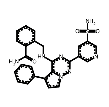 NC(=O)c1ccccc1CNc1nc(-c2cncc(S(N)(=O)=O)c2)nn2ccc(-c3ccccc3)c12